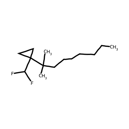 CCCCCCCC(C)(C)C1(C(F)F)CC1